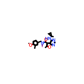 COc1ccc(CN(I)C(=O)c2c(C)oc3ncnc(NC4(C)CC4)c23)cc1C